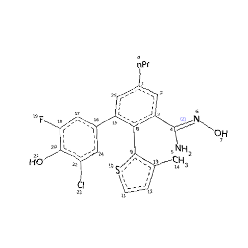 CCCc1cc(/C(N)=N/O)c(-c2sccc2C)c(-c2cc(F)c(O)c(Cl)c2)c1